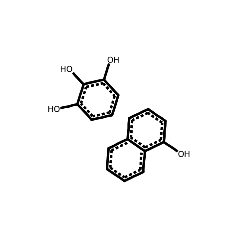 Oc1cccc(O)c1O.Oc1cccc2ccccc12